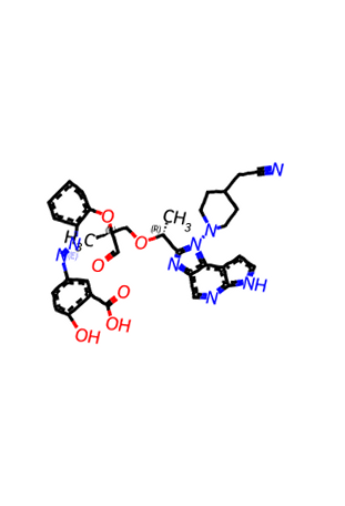 C[C@@H](OC[C@](C)(C=O)Oc1ccccc1/N=N/c1ccc(O)c(C(=O)O)c1)c1nc2cnc3[nH]ccc3c2n1N1CCC(CC#N)CC1